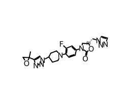 CC1(c2cn(C3CCN(c4ccc(N5C[C@H](Cn6ccnn6)OC5=O)cc4F)CC3)nn2)CO1